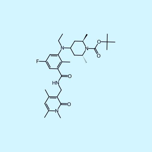 CCN(c1cc(F)cc(C(=O)NCc2c(C)cc(C)n(C)c2=O)c1C)C1C[C@@H](C)N(C(=O)OC(C)(C)C)[C@H](C)C1